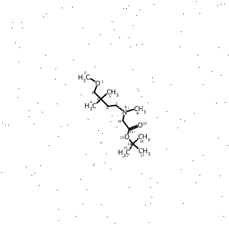 COCC(C)(C)CCN(C)CC(=O)OC(C)(C)C